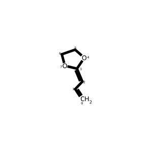 C=CC=C1OCCO1